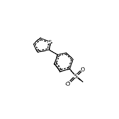 CS(=O)(=O)c1ccc(-c2cccs2)cc1